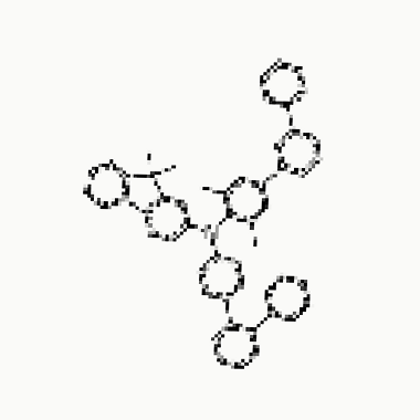 Cc1cc(-c2cccc(-c3ccccc3)c2)cc(C)c1N(c1ccc(-c2ccccc2-c2ccccc2)cc1)c1ccc2c(c1)C(C)(C)c1ccccc1-2